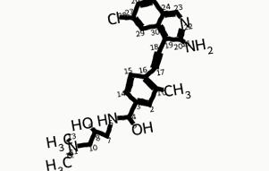 Cc1cc(C(O)NCC(O)CN(C)C)ccc1C#Cc1c(N)ncc2ccc(Cl)cc12